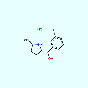 CCC[C@@H]1CC[C@@H](C(O)c2cccc(F)c2)N1.Cl